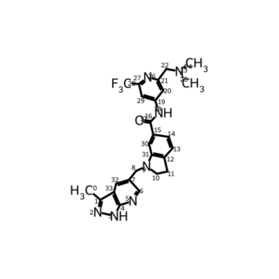 Cc1n[nH]c2ncc(CN3CCc4ccc(C(=O)Nc5cc(CN(C)C)nc(C(F)(F)F)c5)cc43)cc12